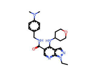 CCn1ncc2c(NC3CCOCC3)c(C(=O)NCc3ccc(N(C)C)cc3)cnc21